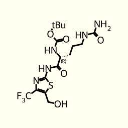 CC(C)(C)OC(=O)N[C@H](CCCNC(N)=O)C(=O)Nc1nc(C(F)(F)F)c(CO)s1